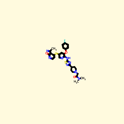 Cc1noc2nccc(Sc3cnc(Nc4nc(C5CCN(CC(=O)N(C)C)CC5)ns4)c(Oc4ccc(F)cc4)c3)c12